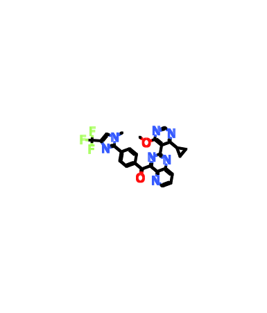 COc1ncnc(C2CC2)c1-c1nc(C(=O)c2ccc(-c3nc(C(F)(F)F)cn3C)cc2)c2ncccc2n1